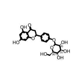 O=C1CC(c2ccc(OC3O[C@H](CO)[C@@H](O)[C@H](O)[C@H]3O)cc2)Oc2cc(O)cc(O)c21